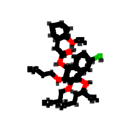 CCCOc1c(OCCC)c(OC(C)CCC)c2cc(Cl)ccc2c1OC(=O)Cc1ccccc1OC